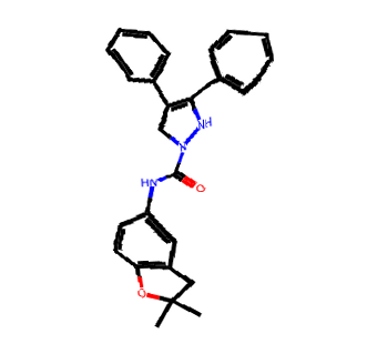 CC1(C)Cc2cc(NC(=O)N3CC(c4ccccc4)=C(c4ccccc4)N3)ccc2O1